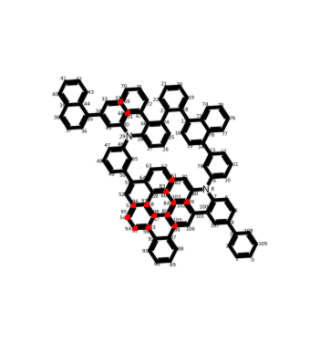 c1ccc(-c2ccc(N(c3cccc(-c4ccc(-c5ccccc5-c5cccc(N(c6cccc(-c7cccc8ccccc78)c6)c6cccc(-c7cc8ccccc8c8ccccc78)c6)c5-c5ccccc5)c5ccccc45)c3)c3cccc(-c4cc5ccccc5c5ccccc45)c3)c(-c3ccccc3)c2)cc1